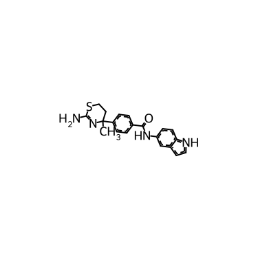 CC1(c2ccc(C(=O)Nc3ccc4[nH]ccc4c3)cc2)CCSC(N)=N1